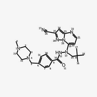 CN1CCN(Cc2ccc(C(=O)NN(CC(C)(C)C)c3ccnc4cc(C#N)nn34)cc2)CC1